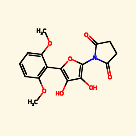 COc1cccc(OC)c1-c1oc(N2C(=O)CCC2=O)c(O)c1O